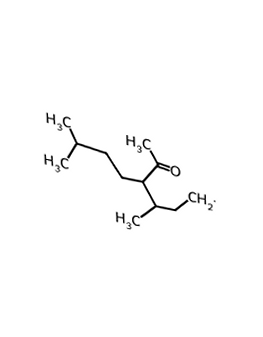 [CH2]CC(C)C(CCC(C)C)C(C)=O